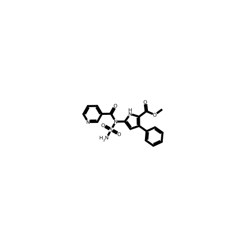 COC(=O)c1[nH]c(N(C(=O)c2cccnc2)S(N)(=O)=O)cc1-c1ccccc1